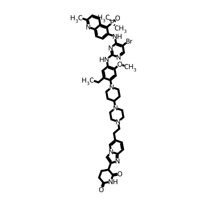 CCc1cc(Nc2ncc(Br)c(Nc3ccc4nc(C)ccc4c3P(C)(C)=O)n2)c(OC)cc1N1CCC(N2CCN(CCc3ccc4nc(C5CCC(=O)NC5=O)cn4c3)CC2)CC1